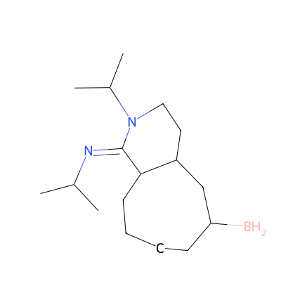 BC1CCCCC2/C(=N\C(C)C)N(C(C)C)CCC2C1